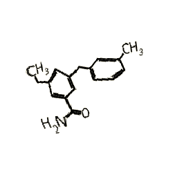 CCc1cc(Cc2cccc(C)c2)cc(C(N)=O)c1